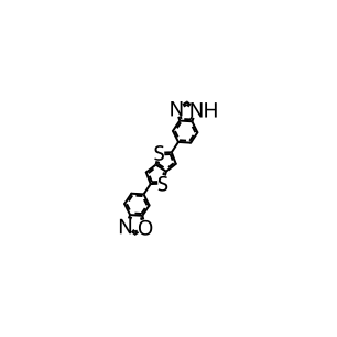 c1nc2cc(-c3cc4sc(-c5ccc6ncoc6c5)cc4s3)ccc2[nH]1